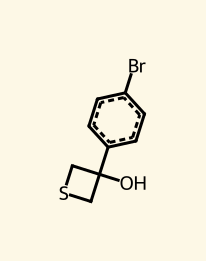 OC1(c2ccc(Br)cc2)CSC1